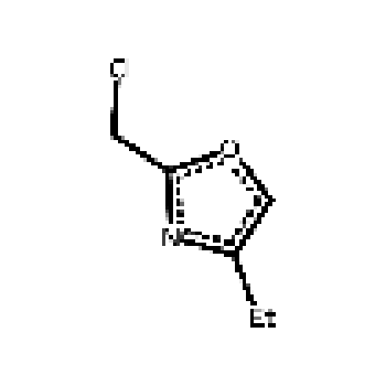 CCc1coc(CCl)n1